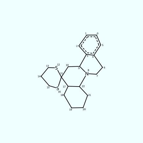 c1ccc2c(c1)CCN1C2CC2(SCCCS2)C2CCCCC21